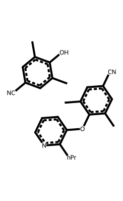 CCCc1ncccc1Oc1c(C)cc(C#N)cc1C.Cc1cc(C#N)cc(C)c1O